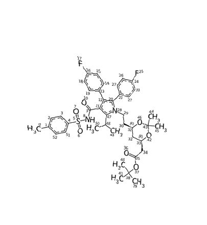 Cc1ccc(S(=O)(=O)NC(=O)c2c(-c3ccc(F)cc3)c(-c3ccc(F)cc3)n(CC[C@@H]3C[C@H](CC(=O)OC(C)(C)C)OC(C)(C)O3)c2C(C)C)cc1